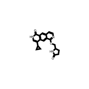 O=C1CCC(COc2nccc3cc4c(=O)[nH]cc(C5CC5)c4cc23)N1